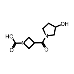 O=C(O)N1CC(C(=O)N2CCC(O)C2)C1